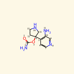 NC(=O)O[C@@]1(c2ccncc2N)CCNC1